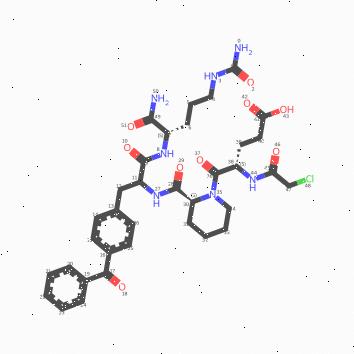 NC(=O)NCCC[C@H](NC(=O)C(Cc1ccc(C(=O)c2ccccc2)cc1)NC(=O)[C@@H]1CCCCN1C(=O)[C@H](CCC(=O)O)NC(=O)CCl)C(N)=O